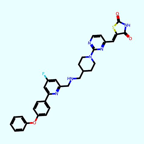 O=C1NC(=O)/C(=C/c2ccnc(N3CCC(CNCc4cc(F)cc(-c5ccc(Oc6ccccc6)cc5)n4)CC3)n2)S1